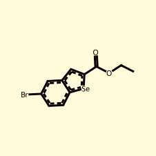 CCOC(=O)c1cc2cc(Br)ccc2[se]1